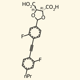 CCCc1ccc(C#Cc2ccc(C3O[C@@H](C(=O)O)[C@H](C(=O)O)O3)cc2F)c(F)c1